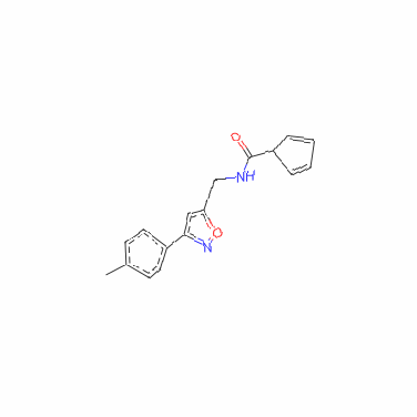 Cc1ccc(-c2cc(CNC(=O)C3C=CC=C3)on2)cc1